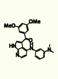 COc1cc(OC)cc(C(=O)c2c[nH]c3nccc(Nc4cccc(N(C)C)c4)c23)c1